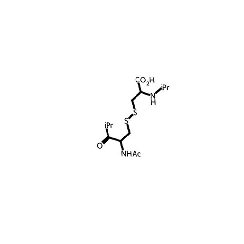 CC(=O)NC(CSSCC(NC(C)C)C(=O)O)C(=O)C(C)C